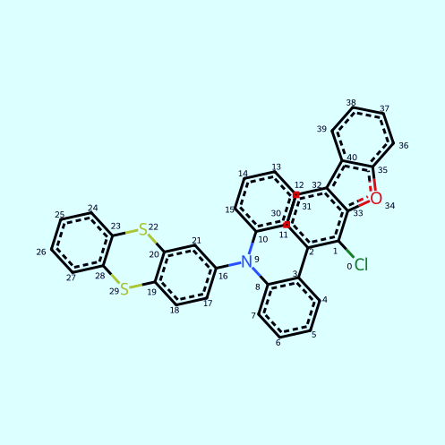 Clc1c(-c2ccccc2N(c2ccccc2)c2ccc3c(c2)Sc2ccccc2S3)ccc2c1oc1ccccc12